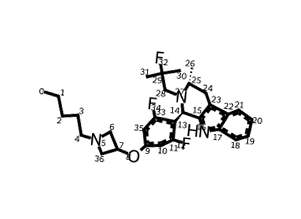 CCCCCN1CC(Oc2cc(F)c([C@@H]3c4[nH]c5ccccc5c4C[C@@H](C)N3CC(C)(C)F)c(F)c2)C1